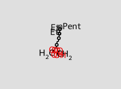 C=C(CO)C(=O)OCC(COC(=O)C(=C)CO)C1CCC(CCC2CCC(c3ccc(-c4ccc(CCCCC)c(CC)c4)c(CC)c3)CC2)CC1